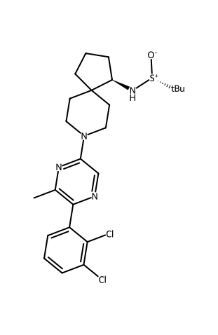 Cc1nc(N2CCC3(CCC[C@H]3N[S@+]([O-])C(C)(C)C)CC2)cnc1-c1cccc(Cl)c1Cl